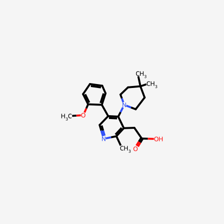 COc1ccccc1-c1cnc(C)c(CC(=O)O)c1N1CCC(C)(C)CC1